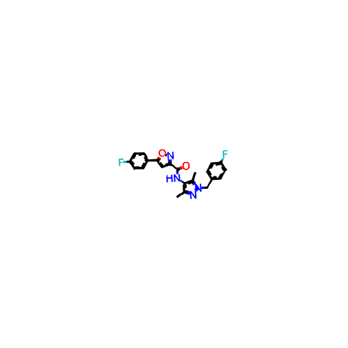 Cc1nn(Cc2ccc(F)cc2)c(C)c1NC(=O)c1cc(-c2ccc(F)cc2)on1